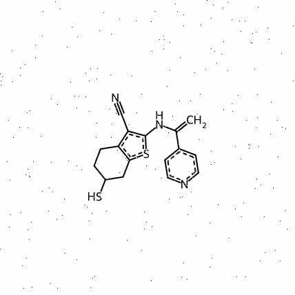 C=C(Nc1sc2c(c1C#N)CCC(S)C2)c1ccncc1